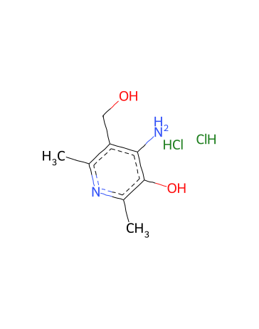 Cc1nc(C)c(CO)c(N)c1O.Cl.Cl